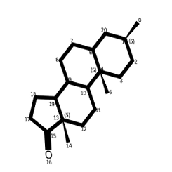 C[C@H]1CC[C@@]2(C)C(CCC3C2CC[C@]2(C)C(=O)CCC32)C1